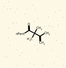 C=C(C)C(C)(C)C(=O)CCCCC